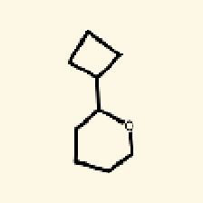 C1CC[C](C2CCC2)OC1